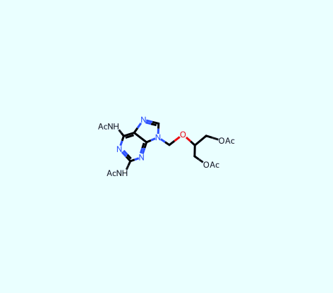 CC(=O)Nc1nc(NC(C)=O)c2ncn(COC(COC(C)=O)COC(C)=O)c2n1